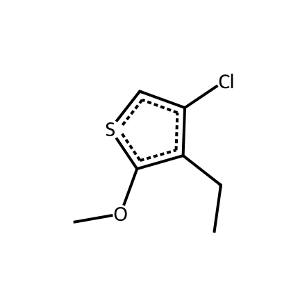 CCc1c(Cl)csc1OC